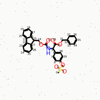 CS(=O)(=O)Oc1ccc(C(NC(=O)OCC2c3ccccc3-c3ccccc32)C(=O)OCc2ccccc2)cc1